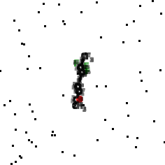 CC1CCC(c2ccc3cc(C#Cc4cc(F)c5c(F)c(C#CC(F)(F)F)c(F)cc5c4)ccc3c2)OC1